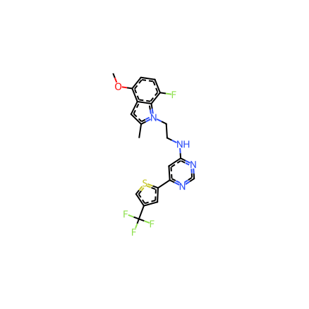 COc1ccc(F)c2c1cc(C)n2CCNc1cc(-c2cc(C(F)(F)F)cs2)ncn1